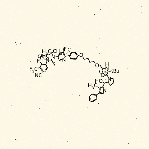 CN(C(=S)N(c1cnc(-c2ccc(OCCCCOCC(=O)N[C@H](C(=O)N3CCCC3C(O)c3ncc(-c4ccccc4)n3C)C(C)(C)C)cc2C(F)(F)F)c(F)c1)C(C)(C)C=O)c1ccc(C#N)c(C(F)(F)F)c1F